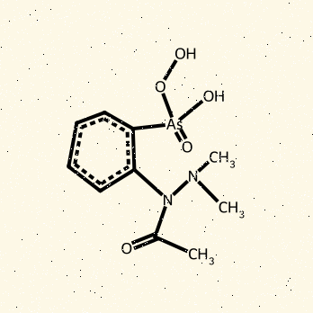 CC(=O)N(c1ccccc1[As](=O)(O)OO)N(C)C